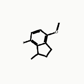 COc1ccc(I)c2c1CCC2C